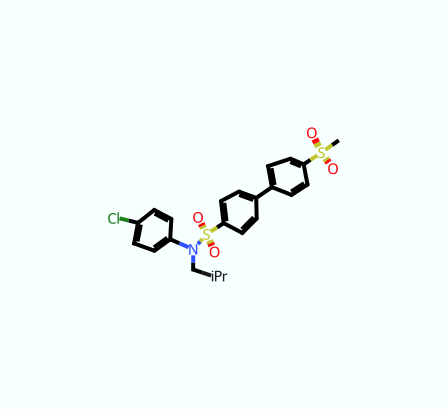 CC(C)CN(c1ccc(Cl)cc1)S(=O)(=O)c1ccc(-c2ccc(S(C)(=O)=O)cc2)cc1